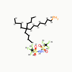 CCCCC(CCCC)(CCCC)CCCCCCCP.O=S(=O)(NS(=O)(=O)C(F)(F)F)C(F)(F)F